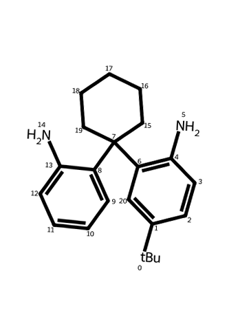 CC(C)(C)c1ccc(N)c(C2(c3ccccc3N)CCCCC2)c1